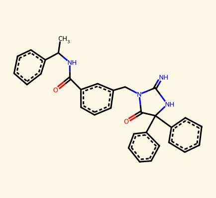 CC(NC(=O)c1cccc(CN2C(=N)NC(c3ccccc3)(c3ccccc3)C2=O)c1)c1ccccc1